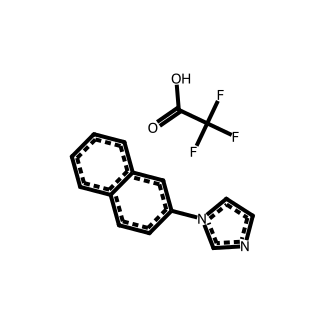 O=C(O)C(F)(F)F.c1ccc2cc(-n3ccnc3)ccc2c1